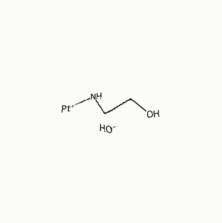 OCC[NH][Pt+].[OH-]